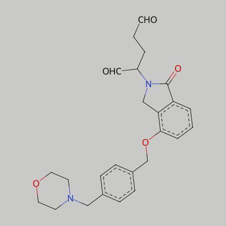 O=CCCC(C=O)N1Cc2c(OCc3ccc(CN4CCOCC4)cc3)cccc2C1=O